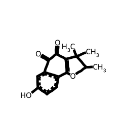 CC1OC2=C(C(=O)C(=O)c3cc(O)ccc32)C1(C)C